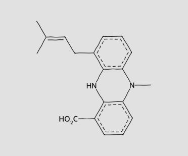 CC(C)=CCc1cccc2c1Nc1c(C(=O)O)cccc1N2C